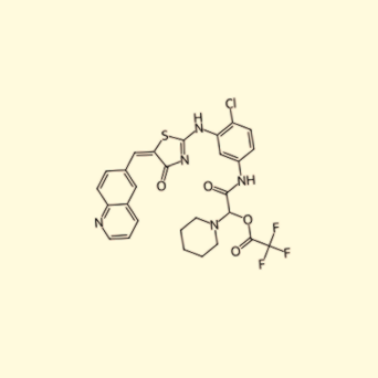 O=C1N=C(Nc2cc(NC(=O)C(OC(=O)C(F)(F)F)N3CCCCC3)ccc2Cl)SC1=Cc1ccc2ncccc2c1